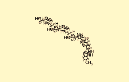 Cc1ccc(F)c(NC(=O)Nc2ccc(-c3cccc4c3c(N)nn4C(=O)C[C@H](N)C(=O)N[C@@H](CCC(=O)N[C@@H](CCC(=O)N[C@@H](CCC(=O)N[C@@H](CCC(=O)O)C(=O)O)C(=O)O)C(=O)O)C(=O)O)cc2)c1